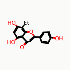 CCc1c(O)cc(O)c2c(=O)cc(-c3ccc(O)cc3)oc12